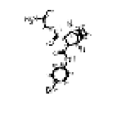 NC(=O)CNC(=O)[C@H]1[C@H](C(=O)Nc2ccc(Br)cc2)[C@@H]2C=C[C@H]1C21CC1